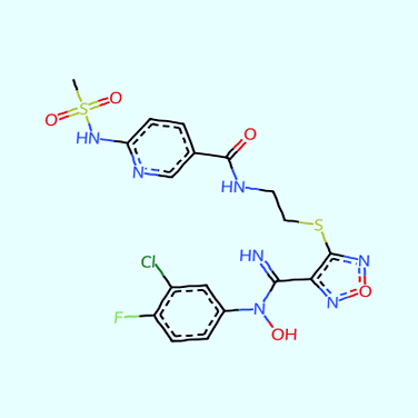 CS(=O)(=O)Nc1ccc(C(=O)NCCSc2nonc2C(=N)N(O)c2ccc(F)c(Cl)c2)cn1